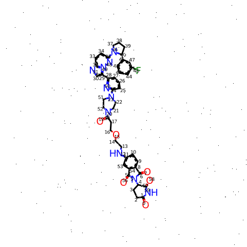 O=C1CCC(N2C(=O)c3ccc(NCCOCCC(=O)N4CCN(c5cccc(-c6cnc7ccc(N8CCC[C@H]8c8cccc(F)c8)nn67)n5)CC4)cc3C2=O)C(=O)N1